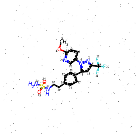 COc1ccc(-n2nc(C(F)(F)F)cc2-c2ccc(CCNS(N)(=O)=O)cc2)cn1